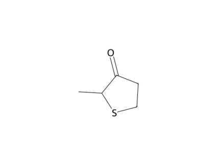 CC1SCCC1=O